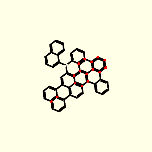 c1ccc(-c2ccccc2N(c2cc(-c3ccccc3)c3c(-c4ccccc4)ccc(N(c4ccccc4-c4ccccc4)c4cccc5ccccc45)c3c2)c2cccc3ccccc23)cc1